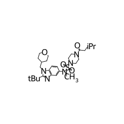 CC(C)CC(=O)N1CCN(S(=O)(=O)N(C)c2ccc3c(c2)nc(C(C)(C)C)n3CC2CCOCC2)CC1